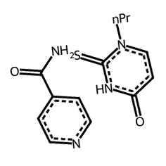 CCCn1ccc(=O)[nH]c1=S.NC(=O)c1ccncc1